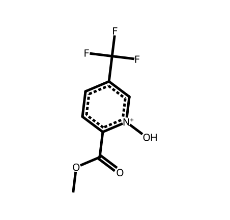 COC(=O)c1ccc(C(F)(F)F)c[n+]1O